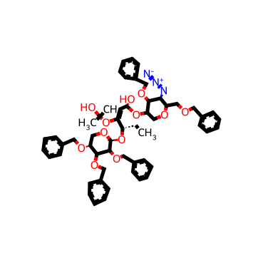 CC[C@H](O[C@@H]1OC[C@@H](OCc2ccccc2)C(OCc2ccccc2)C1OCc1ccccc1)/C(=C\[C@@H](O)OC1COC(COCc2ccccc2)[C@H](N=[N+]=[N-])C1OCc1ccccc1)OC(C)(C)O